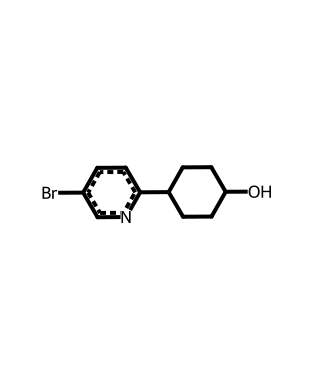 OC1CCC(c2ccc(Br)cn2)CC1